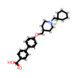 O=C(O)c1ccc(-c2ccc(OCC3CCN(CC4(F)CCCCC4)CC3)cc2)cc1